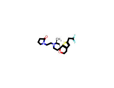 C[C@H]1C[C@@]2(CCN1CCN1CCCC1=O)OCCc1cc(CC(F)F)sc12